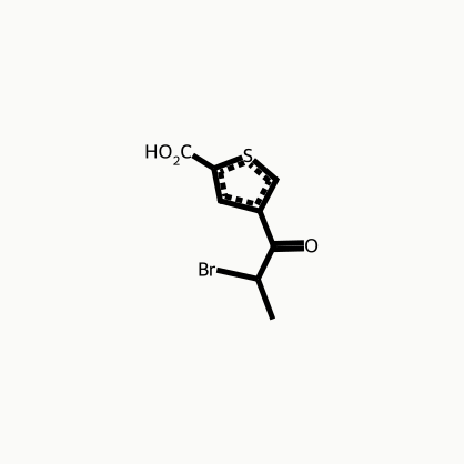 CC(Br)C(=O)c1csc(C(=O)O)c1